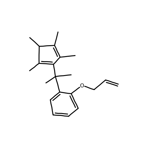 C=CCOc1ccccc1C(C)(C)C1=C(C)C(C)C(C)=C1C